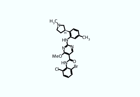 COc1nc(Nc2cc(C)ccc2[C@H]2CCN(C)C2)ncc1C(=O)Nc1c(Cl)cccc1Br